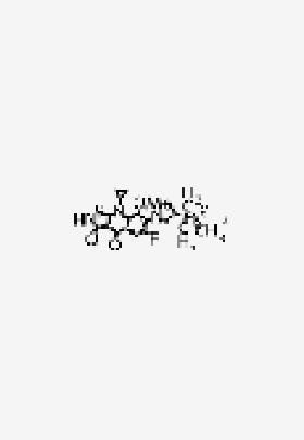 COc1c(N2CCC(C(C)(C)N(C)C)C2)c(F)cc2c(=O)c3c(=O)[nH]sc3n(C3CC3)c12